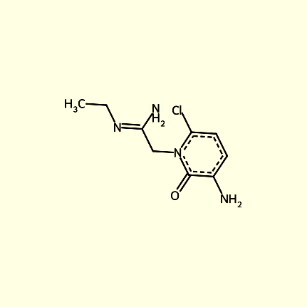 CC/N=C(\N)Cn1c(Cl)ccc(N)c1=O